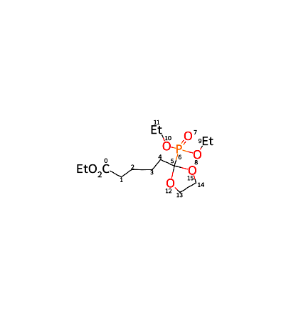 CCOC(=O)CCCCC1(P(=O)(OCC)OCC)OCCO1